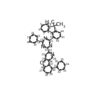 CC1(C)c2ccccc2-c2c(-c3nc(-c4ccccc4)nc(-c4cc5oc6cccc(-c7ccccc7)c6c5cn4)n3)cccc21